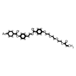 C=CC(=O)OCCOCCOCCOc1ccc(C(=O)OCCc2ccc(OC(=O)C3CCC(C(C)=O)CC3)cc2)cc1